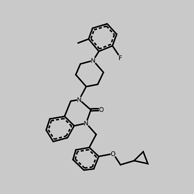 Cc1cccc(F)c1N1CCC(N2Cc3ccccc3N(Cc3ccccc3OCC3CC3)C2=O)CC1